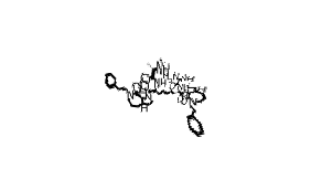 CN[C@@H](C)C(=O)N[C@@H](CCCCC[C@H](NC(=O)[C@H](N)NC)C(=O)N1CC[C@H]2CCCN(CCc3ccccc3)C(=O)[C@H]21)C(=O)N1CC[C@H]2CCCN(CCc3ccccc3)C(=O)[C@H]21